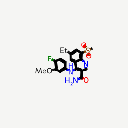 CCc1cc(S(C)(=O)=O)c2ncc(C(N)=O)c(Nc3ccc(F)c(OC)c3)c2c1